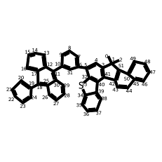 CC1(C)c2cc(-c3cccc(-c4c5ccccc5c(-c5ccccc5)c5ccccc45)c3)c3sc4ccccc4c3c2-c2ccc3ccccc3c21